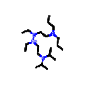 CCCN(CCC)CCN(CC)[N+](CC)CCN(C(C)C)C(C)C